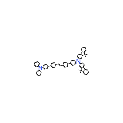 CC1(C)c2ccccc2-c2ccc(N(c3ccc(-c4ccc(/C=C/c5ccc(-c6ccc(N(c7ccccc7)c7ccccc7)cc6)cc5)cc4)cc3)c3ccc4c(c3)C(C)(C)c3ccccc3-4)cc21